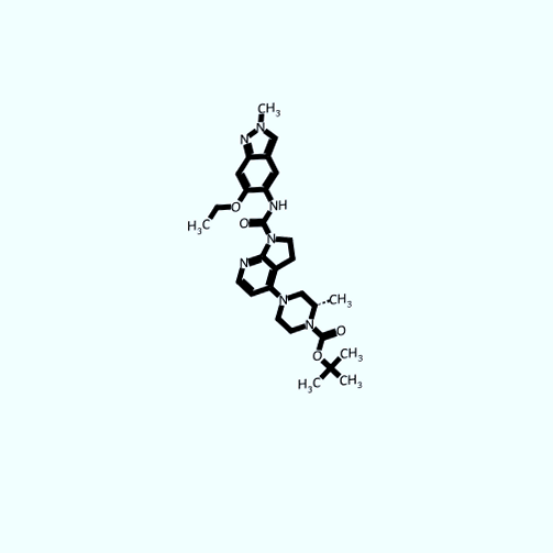 CCOc1cc2nn(C)cc2cc1NC(=O)N1CCc2c(N3CCN(C(=O)OC(C)(C)C)[C@@H](C)C3)ccnc21